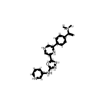 C=C(c1ccc(-c2cncc(-c3nnc(Nc4cccnc4)o3)n2)cc1)N(C)C